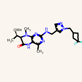 CO[C@H](C)C1C(=O)Nc2c(C)nc(NCc3cnn(CC4CC(F)(F)C4)c3)nc2N1C